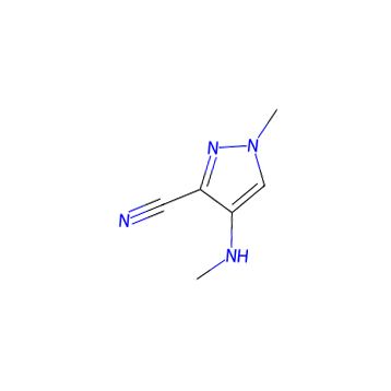 CNc1cn(C)nc1C#N